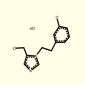 Cl.ClCc1cncn1CCc1cccc(Cl)c1